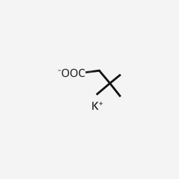 CC(C)(C)CC(=O)[O-].[K+]